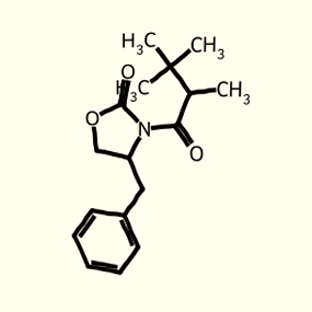 CC(C(=O)N1C(=O)OCC1Cc1ccccc1)C(C)(C)C